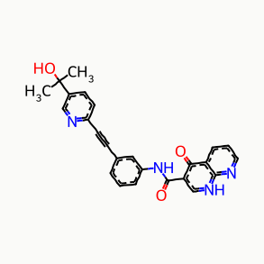 CC(C)(O)c1ccc(C#Cc2cccc(NC(=O)c3c[nH]c4ncccc4c3=O)c2)nc1